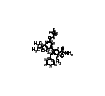 CC1C(S(N)(=O)=O)C=C(c2cc(OCC(F)(F)F)nc(C(C)(C)C)c2)N1CC1CCCCC1